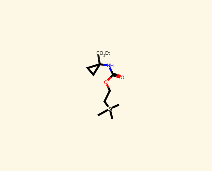 CCOC(=O)C1(NC(=O)OCC[Si](C)(C)C)CC1